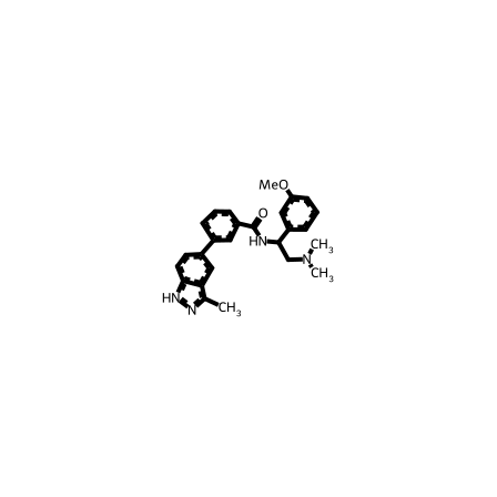 COc1cccc(C(CN(C)C)NC(=O)c2cccc(-c3ccc4[nH]nc(C)c4c3)c2)c1